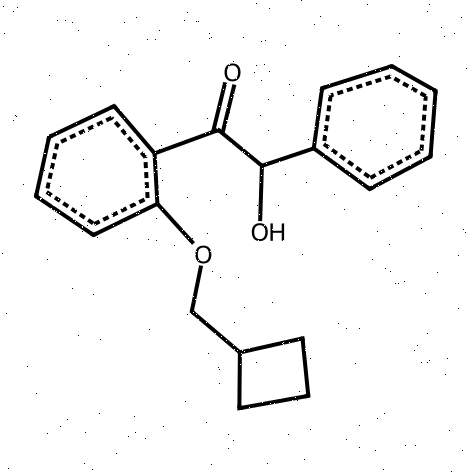 O=C(c1ccccc1OCC1CCC1)C(O)c1ccccc1